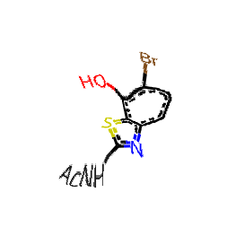 CC(=O)Nc1nc2ccc(Br)c(O)c2s1